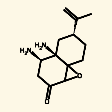 C=C(C)[C@@H]1CCC23OC2C(=O)C[C@@H](N)[C@]3(N)C1